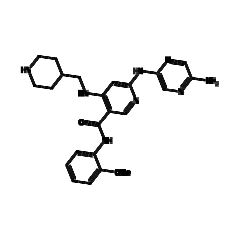 COc1ccccc1NC(=O)c1cnc(Nc2cnc(N)cn2)cc1NCC1CCNCC1